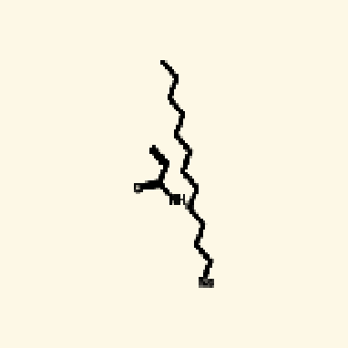 C=CC(N)=O.CCCCCCCCCCC[CH2][Na]